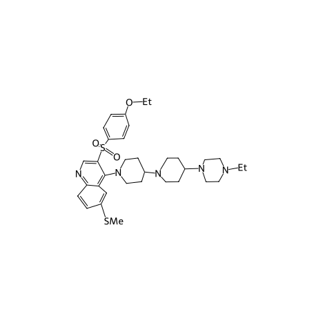 CCOc1ccc(S(=O)(=O)c2cnc3ccc(SC)cc3c2N2CCC(N3CCC(N4CCN(CC)CC4)CC3)CC2)cc1